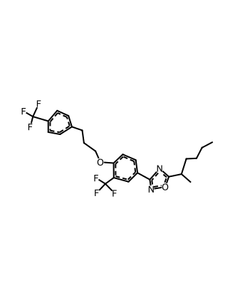 CCCCC(C)c1nc(-c2ccc(OCCCc3ccc(C(F)(F)F)cc3)c(C(F)(F)F)c2)no1